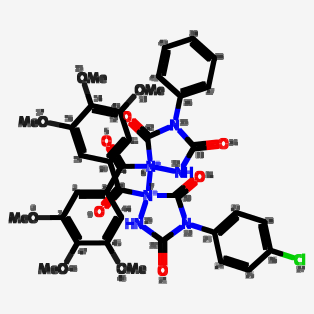 COc1cc(C(=O)[N+]2([N+]3(C(=O)c4cc(OC)c(OC)c(OC)c4)NC(=O)N(c4ccc(Cl)cc4)C3=O)NC(=O)N(c3ccccc3)C2=O)cc(OC)c1OC